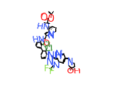 CC(C)OC(=O)C(C)(C)N[C@@H]1CCCn2nc(C(=O)Nc3cccc(-c4cccc(Nc5nc(C(F)F)nc6cc(CN7CC[C@@H](O)C7)cnc56)c4Cl)c3Cl)cc21